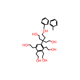 Cc1ccccc1.Cc1ccccc1.OCCc1cc(C(CCO)(CCO)CCO)c(CCO)c(CCO)c1CCO